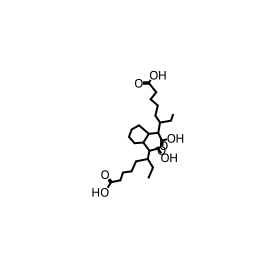 CCC(CCCCC(=O)O)C(C(=O)O)C1CCCCC1C(C(=O)O)C(CC)CCCCC(=O)O